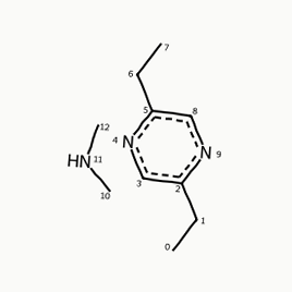 CCc1cnc(CC)cn1.CNC